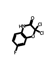 O=C1Nc2ccc(F)cc2OC1(Cl)Cl